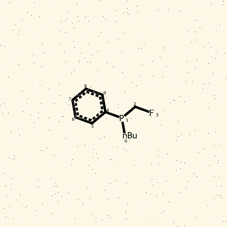 CCCCP(CF)c1ccccc1